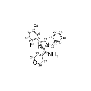 N[C@@H](c1nc(-c2cc(F)ccc2F)cn1Cc1ccccc1)C1CCOCC1